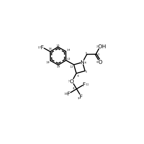 O=C(O)CN1CC(OC(F)(F)F)C1c1ccc(F)cc1